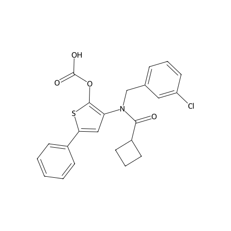 O=C(O)Oc1sc(-c2ccccc2)cc1N(Cc1cccc(Cl)c1)C(=O)C1CCC1